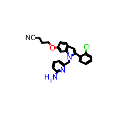 N#CCCCOc1ccc2cc(-c3ccccc3Cl)n(Cc3cccc(N)n3)c2c1